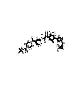 Cc1cc(NC(=S)Nc2cc(C(C)N3CCN(C(=O)OC(C)(C)C)CC3)ccn2)c(N)cc1-c1cnn(CC2CC2(F)F)c1